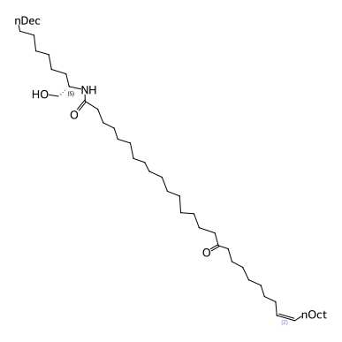 CCCCCCCC/C=C\CCCCCCCC(=O)CCCCCCCCCCCCCCCC(=O)N[C@H](CO)CCCCCCCCCCCCCCCC